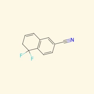 N#Cc1ccc2c(c1)C=CCC2(F)F